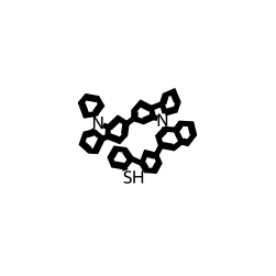 Sc1ccccc1-c1cccc(-c2cc(-n3c4ccccc4c4ccc(-c5ccc6c7ccccc7n(-c7ccccc7)c6c5)cc43)c3ccccc3c2)c1